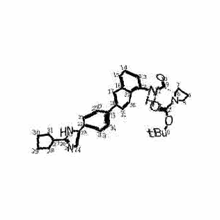 CC(C)(C)OC(=O)N1CCC[C@H]1C(=O)Nc1cccc2cc(-c3ccc(-c4cnc(C5CCCC5)[nH]4)cc3)ccc12